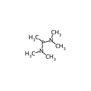 CN(C)P(C)N(C)C